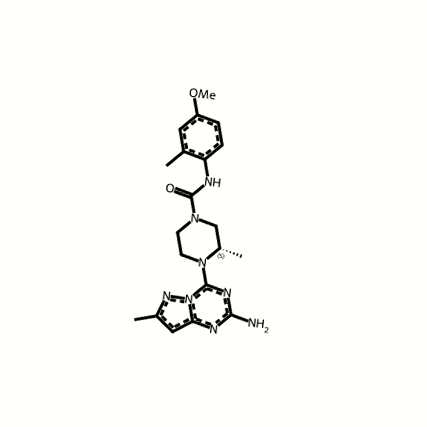 COc1ccc(NC(=O)N2CCN(c3nc(N)nc4cc(C)nn34)[C@@H](C)C2)c(C)c1